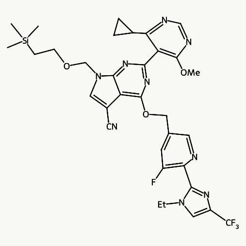 CCn1cc(C(F)(F)F)nc1-c1ncc(COc2nc(-c3c(OC)ncnc3C3CC3)nc3c2c(C#N)cn3COCC[Si](C)(C)C)cc1F